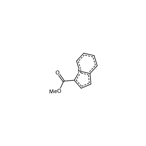 COC(=O)c1ccc2ccccn12